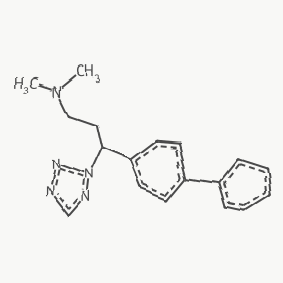 CN(C)CCC(c1ccc(-c2ccccc2)cc1)n1ncnn1